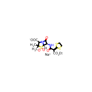 CCOC(=O)C(C(=O)N[C@@H]1C(=O)N2C(C(=O)[O-])C(C)(C)S(=O)(=O)[C@H]12)=C1SCCS1.[Na+]